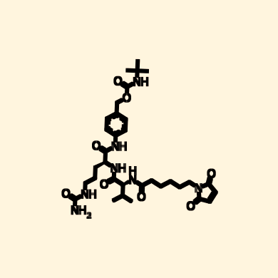 CC(C)[C@H](NC(=O)CCCCCN1C(=O)C=CC1=O)C(=O)N[C@@H](CCCNC(N)=O)C(=O)Nc1ccc(COC(=O)NC(C)(C)C)cc1